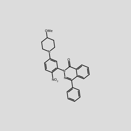 COC1CCN(c2ccc([N+](=O)[O-])c(-n3nc(-c4ccccc4)c4ccccc4c3=O)c2)CC1